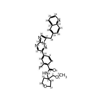 COCC1(NC(=O)c2ccc(-c3cnc4ncc(Cc5ccc6ncccc6c5)n4n3)cc2F)CCOCC1